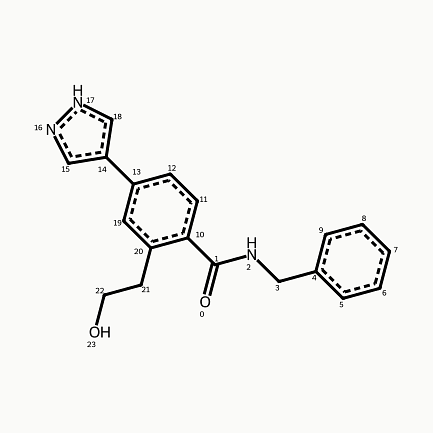 O=C(NCc1ccccc1)c1ccc(-c2cn[nH]c2)cc1CCO